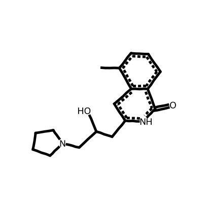 Cc1cccc2c(=O)[nH]c(CC(O)CN3CCCC3)cc12